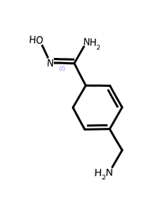 NCC1=CCC(/C(N)=N/O)C=C1